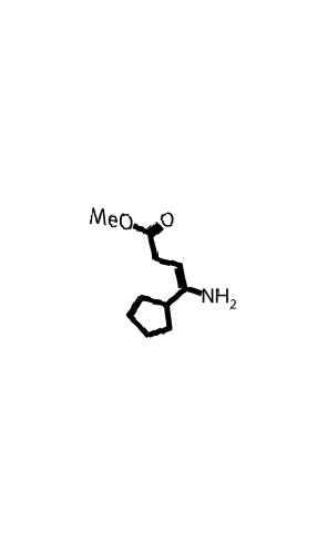 COC(=O)C/C=C(/N)C1CCCC1